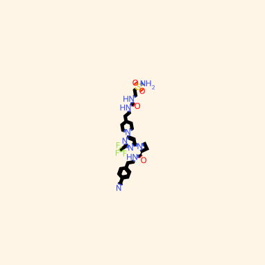 N#Cc1ccc(CCNC(=O)[C@@H]2CCN2c2cc(N3CCC(CCNC(=O)NCCS(N)(=O)=O)CC3)nc(C(F)(F)F)n2)cc1